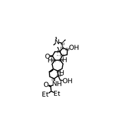 CCC(CC)C(=O)N[C@H]1CC=C2C[C@H]3C(=O)C[C@]4(C)[C@@H]([C@H](C)N(C)C)[C@H](O)C[C@@]4(C)[C@@H]3CC[C@H]2[C@]1(C)CO